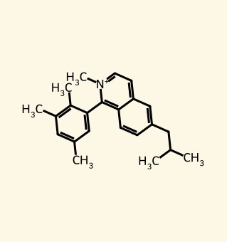 Cc1cc(C)c(C)c(-c2c3ccc(CC(C)C)cc3cc[n+]2C)c1